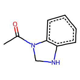 CC(=O)N1CNc2ccccc21